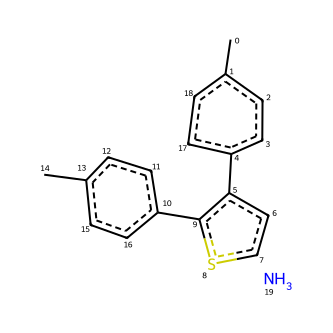 Cc1ccc(-c2ccsc2-c2ccc(C)cc2)cc1.N